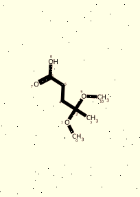 COC(C)(CCC(=O)O)OC